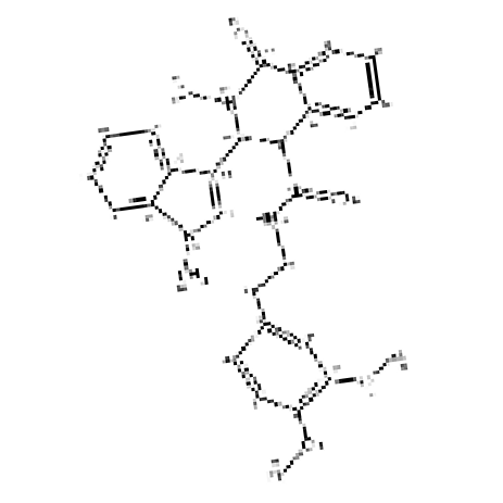 CCOc1ccc(CCNC(=O)C2c3ccccc3C(=O)N(C)C2c2cn(C)c3ccccc23)cc1OCC